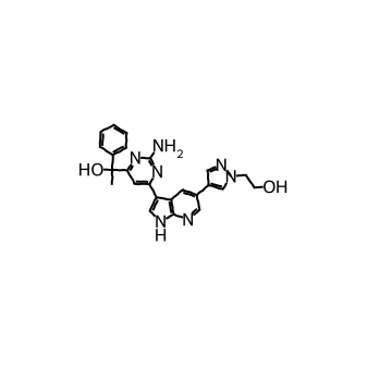 CC(O)(c1ccccc1)c1cc(-c2c[nH]c3ncc(-c4cnn(CCO)c4)cc23)nc(N)n1